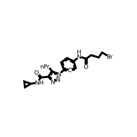 CCCc1c(C(=O)NC2CC2)nnn1-c1ccc(NC(=O)CCCBr)cc1